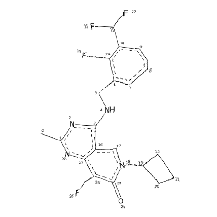 Cc1nc(NCc2cccc(C(F)F)c2F)c2cn(C3CCC3)c(=O)c(F)c2n1